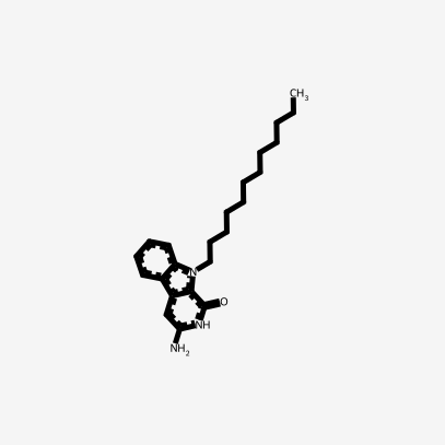 CCCCCCCCCCCCn1c2ccccc2c2cc(N)[nH]c(=O)c21